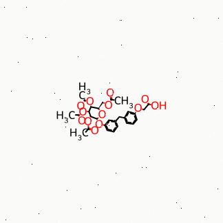 CC(=O)OC[C@H]1O[C@H](Oc2cccc(Cc3cccc(OCC(=O)O)c3)c2)[C@@H](OC(C)=O)[C@@H](OC(C)=O)[C@@H]1OC(C)=O